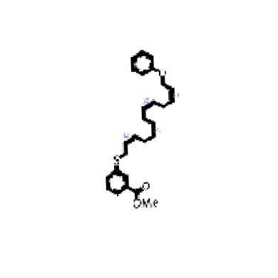 COC(=O)c1cccc(SC/C=C\C/C=C\C/C=C\C/C=C\COc2ccccc2)c1